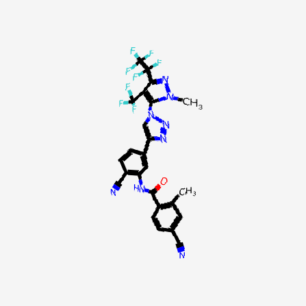 Cc1cc(C#N)ccc1C(=O)Nc1cc(-c2cn(-c3c(C(F)(F)F)c(C(F)(F)C(F)(F)F)nn3C)nn2)ccc1C#N